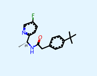 C[C@@H](NC(=O)Cc1ccc(C(C)(C)C)cc1)c1ccc(F)cn1